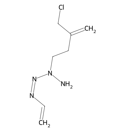 C=C/N=N\N(N)CCC(=C)CCl